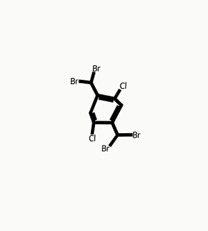 Clc1cc(C(Br)Br)c(Cl)cc1C(Br)Br